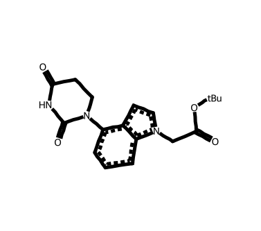 CC(C)(C)OC(=O)Cn1ccc2c(N3CCC(=O)NC3=O)cccc21